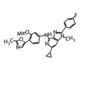 COc1cc(Nc2nc(C3CC3)cc3c2nc(-c2ccc(F)cc2)n3C)ccc1-c1cnc(C)o1